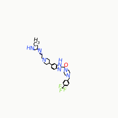 CC/C(C=N)=N/C=C/CN1CCC(c2ccc3nc(C(=O)N4CCN(Cc5ccc(C(F)(F)F)cc5)CC4)[nH]c3c2)CC1